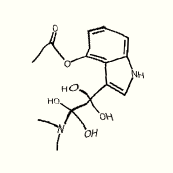 CC(=O)Oc1cccc2[nH]cc(C(O)(O)C(O)(O)N(C)C)c12